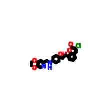 O=c1oc2c(CCC3(O)CCC(NCc4cc5c(cn4)OCCO5)CC3)cccc2cc1Cl